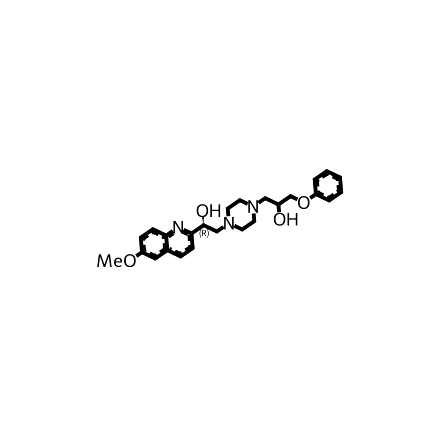 COc1ccc2nc([C@H](O)CN3CCN(CC(O)COc4ccccc4)CC3)ccc2c1